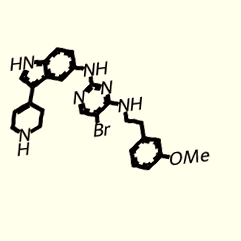 COc1cccc(CCNc2nc(Nc3ccc4[nH]cc(C5=CCNCC5)c4c3)ncc2Br)c1